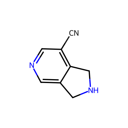 N#Cc1cncc2c1CNC2